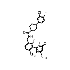 O=C(NCc1ccc(C(F)(F)F)c(-c2nc(C(F)(F)F)cc(=O)[nH]2)c1F)C1CCN(c2ccc(F)c(Cl)c2)CC1